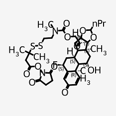 CCCC1O[C@@H]2CC3[C@@H]4C[C@H](F)C5=CC(=O)C=C[C@]5(C)C4[C@@H](O)C[C@]3(C)[C@]2(C(=O)COC(=O)N(C)CCSSC(C)(C)CC(=O)ON2C(=O)CCC2=O)O1